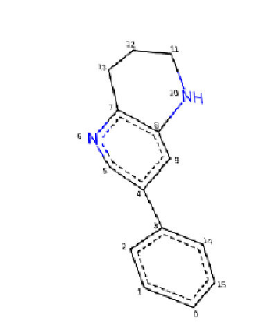 c1ccc(-c2cnc3c(c2)NCCC3)cc1